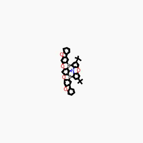 CC(C)(C)c1cc2c3c(c1)B1c4cc5c(cc4Oc4cc6c7c(c41)N3c1c(cc(C(C)(C)C)cc1B7c1cc3c(cc1O6)oc1ccccc13)O2)oc1ccccc15